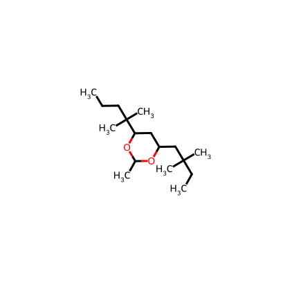 CCCC(C)(C)C1CC(CC(C)(C)CC)OC(C)O1